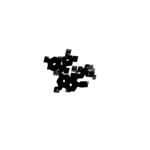 [2H]C(Nc1cc(Cl)c2ncc(C#N)c(NCC(C)(C)C)c2c1)(C1=CNNN1)c1ccc(F)nc1